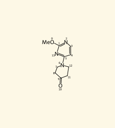 COc1nccc(N2CCC(=O)CC2)n1